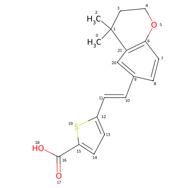 CC1(C)CCOc2ccc(C=Cc3ccc(C(=O)O)s3)cc21